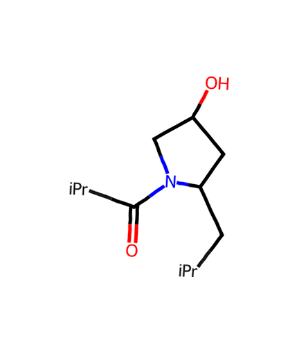 CC(C)CC1CC(O)CN1C(=O)C(C)C